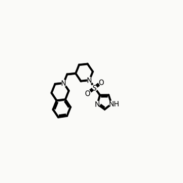 O=S(=O)(c1c[nH]cn1)N1CCCC(CN2CCc3ccccc3C2)C1